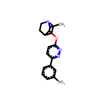 CC1C(Oc2ccc(-c3cccc([N+](=O)[O-])c3)nn2)C2CCN1CC2